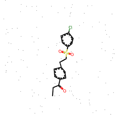 CCC(=O)c1ccc(CCS(=O)(=O)c2ccc(Cl)cc2)cc1